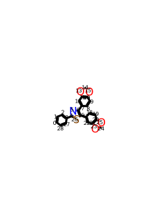 c1ccc(-c2nc(-c3ccc4c(c3)OCO4)c(-c3ccc4c(c3)OCO4)s2)cc1